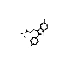 Cc1ccc2[nH]c(-c3ccc(Br)cc3)c(CCC(=O)N(C)C)c2c1